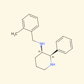 Cc1ccccc1CN[C@@H]1CCCN[C@@H]1c1ccccc1